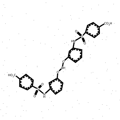 O=C(O)c1ccc(S(=O)(=O)Nc2cccc(OBOc3cccc(NS(=O)(=O)c4ccc(C(=O)O)cc4)c3)c2)cc1